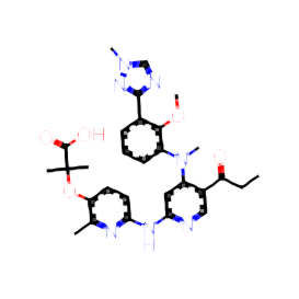 CCC(=O)c1cnc(Nc2ccc(OC(C)(C)C(=O)O)c(C)n2)cc1N(C)c1cccc(-c2ncn(C)n2)c1OC